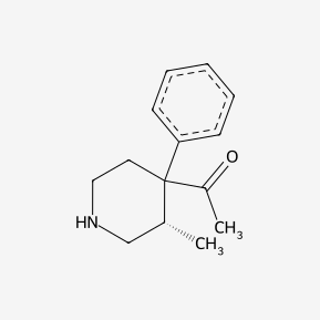 CC(=O)C1(c2ccccc2)CCNC[C@H]1C